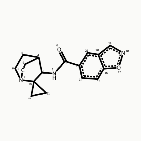 O=C(NC1C2CCN(CC2)C12CC2)c1ccc2oncc2c1